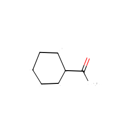 COC(=O)C1CCCCC1.Cl